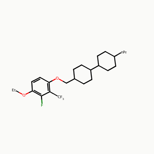 CCCC1CCC(C2CCC(COc3ccc(OCC)c(F)c3C(F)(F)F)CC2)CC1